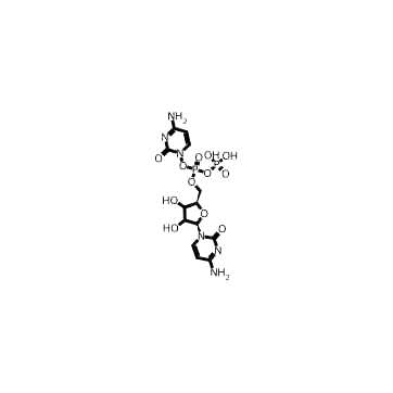 Nc1ccn(OP(=O)(OC[C@H]2O[C@@H](n3ccc(N)nc3=O)C(O)C2O)OP(=O)(O)O)c(=O)n1